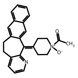 CC(=O)[N+]1([O-])CCC(=C2c3cc4ccccc4cc3CCc3cccnc32)CC1